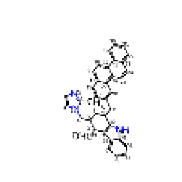 Cc1nccn1CC1CC(Cc2ccc3ccc4c5ccccc5ccc4c3c2)c2[nH]c3ccccc3c2C1C=O